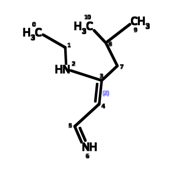 CCN/C(=C\C=N)CC(C)C